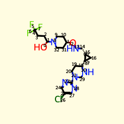 OC(CCC(F)(F)F)N1CCC(ONC[C@@H]2C[C@@H]2C2CCN(c3ncc(Cl)cn3)CN2)CC1